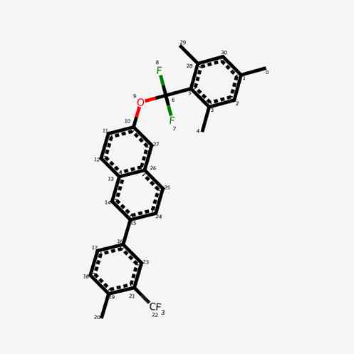 Cc1cc(C)c(C(F)(F)Oc2ccc3cc(-c4ccc(C)c(C(F)(F)F)c4)ccc3c2)c(C)c1